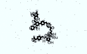 CCN(c1cc(-c2ccc(CN3CCN(C(=O)CCC(=O)N[C@H](C(=O)N4C[C@H](O)C[C@H]4C(=O)NCc4ccc(-c5scnc5C)cc4)C(C)(C)C)CC3)cc2)cc(C(=O)NCc2c(C)cc(C)[nH]c2=O)c1C)C1CCOCC1